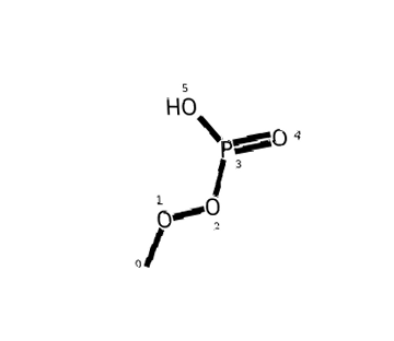 COO[P](=O)O